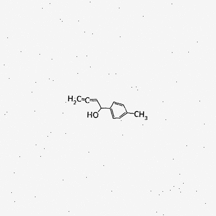 C=C=CC(O)c1ccc(C)cc1